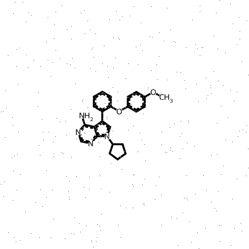 COc1ccc(Oc2ccccc2-c2cn(C3CCCC3)c3ncnc(N)c23)cc1